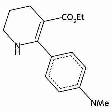 CCOC(=O)C1=C(c2ccc(NC)cc2)NCCC1